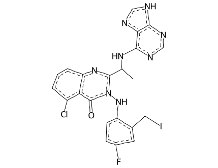 CC(Nc1ncnc2[nH]cnc12)c1nc2cccc(Cl)c2c(=O)n1Nc1ccc(F)cc1CI